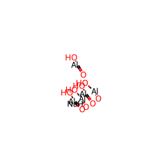 [NaH].[O]=[Al][OH].[O]=[Al][OH].[O]=[Al][OH].[O]=[Al][OH].[O]=[Al][OH]